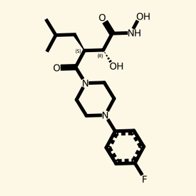 CC(C)C[C@H](C(=O)N1CCN(c2ccc(F)cc2)CC1)[C@@H](O)C(=O)NO